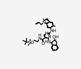 C=CCn1ncc2cc(C)c(Nc3ncc(C(=O)NCCO[Si](C)(C)C(C)(C)C)c(N[C@H]4c5ccccc5C[C@H]4O)n3)cc21